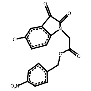 O=C(CN1C(=O)C(=O)c2cc(Cl)ccc21)OCc1ccc([N+](=O)[O-])cc1